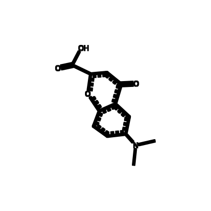 CN(C)c1ccc2oc(C(=O)O)cc(=O)c2c1